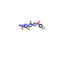 CCNC(=O)c1cnc(N2CCN(C3CCN(C(=O)c4ccc(Cl)cc4)CC3)[C@@H](CC)C2)c(Cl)c1